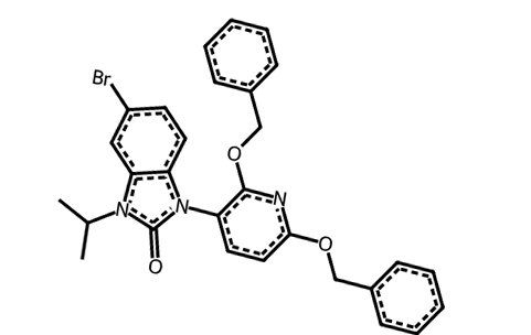 CC(C)n1c(=O)n(-c2ccc(OCc3ccccc3)nc2OCc2ccccc2)c2ccc(Br)cc21